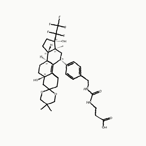 CC1(C)COC2(CCC3=C4[C@@H](CC[C@@]3(O)C2)[C@@H]2CC[C@@](O)(C(F)(F)C(F)(F)F)[C@@]2(C)C[C@@H]4c2ccc(CNC(=O)NCCC(=O)O)cc2)OC1